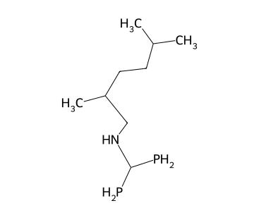 CC(C)CCC(C)CNC(P)P